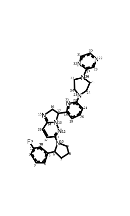 Fc1cccc(C2CCCN2C2=NN3C(=NCC3c3cccc(N4CCN(c5cnccn5)CC4)n3)C=C2)c1